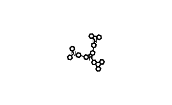 c1ccc(N(c2ccccc2)c2ccc(-c3ccc4c(c3)c3cc(-c5ccc(-n6c7ccccc7c7ccccc76)cc5)ccc3n4-c3ccc4c5ccccc5c5ccccc5c4c3)cc2)cc1